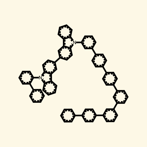 c1ccc(-c2ccc(-c3cccc(-c4cccc(-c5ccc(-c6ccc(-c7cccc(-n8c9ccccc9c9cc(-c%10ccc%11c(c%10)c%10ccccc%10n%11-c%10ccccc%10-c%10ccccc%10)ccc98)c7)cc6)cc5)c4)c3)cc2)cc1